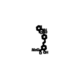 COC(=O)c1cc(C=Cc2ccc(S(=O)(=O)Nc3ncccc3C)cc2)ccc1O